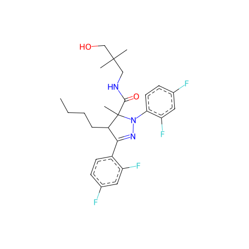 CCCCC1C(c2ccc(F)cc2F)=NN(c2ccc(F)cc2F)C1(C)C(=O)NCC(C)(C)CO